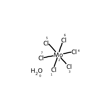 O.[Cl][Mo]([Cl])([Cl])([Cl])([Cl])[Cl]